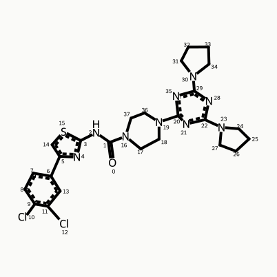 O=C(Nc1nc(-c2ccc(Cl)c(Cl)c2)cs1)N1CCN(c2nc(N3CCCC3)nc(N3CCCC3)n2)CC1